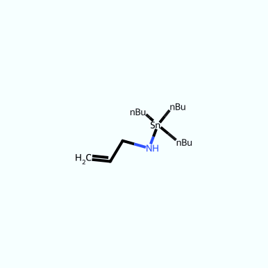 C=CC[NH][Sn]([CH2]CCC)([CH2]CCC)[CH2]CCC